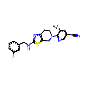 Cc1cc(C#N)cnc1N1CCc2nc(NCc3cccc(F)c3)sc2C1